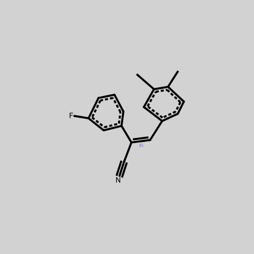 Cc1ccc(/C=C(/C#N)c2cccc(F)c2)cc1C